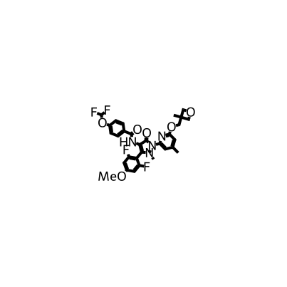 COc1cc(F)c(-c2c(NC(=O)c3ccc(OC(F)F)cc3)c(=O)n(-c3cc(C)cc(OCC4(C)COC4)n3)n2C)c(F)c1